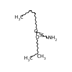 CCCCC/C=C\C/C=C\CCCCCCCCOC(COCCCCCCCCC(C)CCCC)CSSC/C=C/N